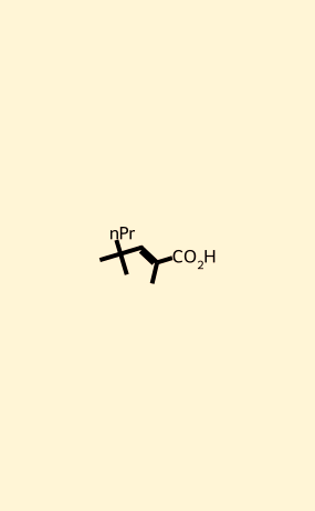 CCCC(C)(C)C=C(C)C(=O)O